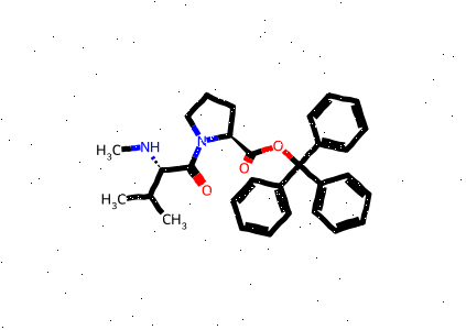 CN[C@H](C(=O)N1CCC[C@H]1C(=O)OC(c1ccccc1)(c1ccccc1)c1ccccc1)C(C)C